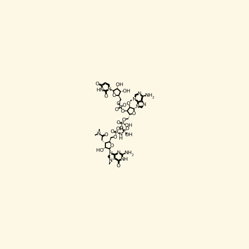 CO[C@@H]1[C@H](OP(=O)([O-])OC[C@H]2O[C@@H](n3ccc(=O)[nH]c3=O)[C@H](O)[C@@H]2O)[C@@H](COP(=O)(O)OP(=O)(O)NP(=O)(O)OC[C@H]2O[C@@H](n3c[n+](C)c4c(=O)[nH]c(N)nc43)[C@H](O)[C@@H]2CC(=O)N(C)C)O[C@H]1n1cnc2c(N)ncnc21